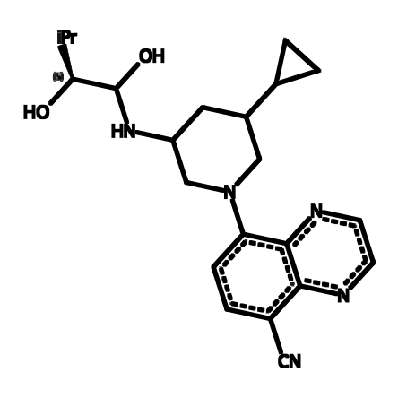 CC(C)[C@H](O)C(O)NC1CC(C2CC2)CN(c2ccc(C#N)c3nccnc23)C1